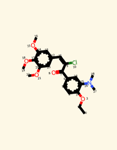 CCOc1ccc(C(=O)/C(Cl)=C\c2cc(OC)c(OC)c(OC)c2)cc1N(C)C